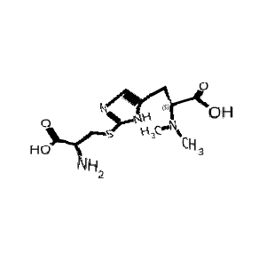 CN(C)[C@@H](Cc1cnc(SCC(N)C(=O)O)[nH]1)C(=O)O